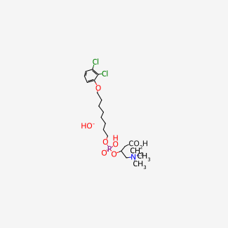 C[N+](C)(C)CC(CC(=O)O)OP(=O)(O)OCCCCCCCCOc1cccc(Cl)c1Cl.[OH-]